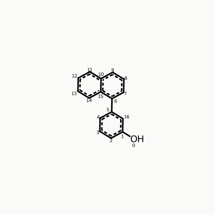 Oc1cccc(-c2cccc3ccccc23)c1